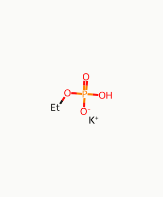 CCOP(=O)([O-])O.[K+]